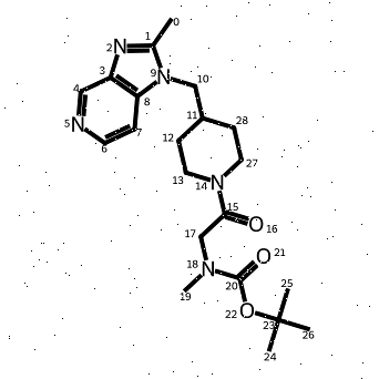 Cc1nc2cnccc2n1CC1CCN(C(=O)CN(C)C(=O)OC(C)(C)C)CC1